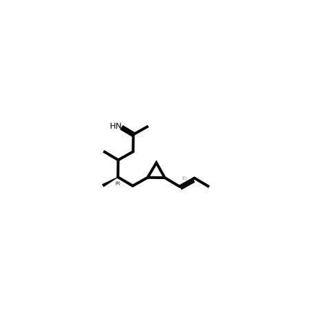 C/C=C/C1CC1C[C@@H](C)C(C)CC(C)=N